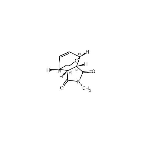 CN1C(=O)[C@@H]2[C@H](C1=O)[C@@H]1C=C[C@H]2CCC1